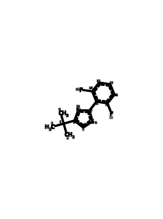 CC(C)(C)c1csc(-c2c(F)cccc2F)n1